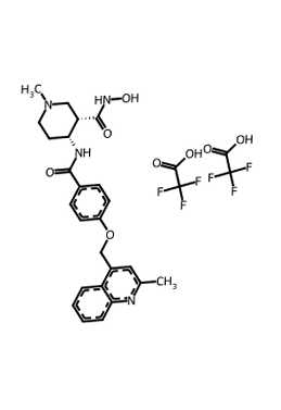 Cc1cc(COc2ccc(C(=O)N[C@@H]3CCN(C)C[C@@H]3C(=O)NO)cc2)c2ccccc2n1.O=C(O)C(F)(F)F.O=C(O)C(F)(F)F